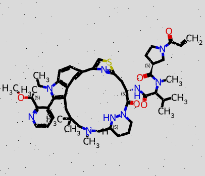 C=CC(=O)N1CC[C@H](C(=O)N(C)C(C(=O)N[C@H]2Cc3nc(cs3)-c3ccc4c(c3)c(c(-c3cccnc3[C@H](C)OC)n4CC)CC(C)(C)CN(C)C[C@@H]3CCCN(N3)C2=O)C(C)C)C1